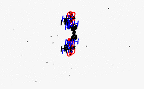 COC(=O)N[C@H](C(=O)N1[C@@H]2C[C@@H]2C[C@H]1c1ncc(-c2cccc(C#Cc3cccc(-c4cnc([C@@H]5C[C@H]6C[C@H]6N5C(=O)[C@@H](NC(=O)OC)C(C)C)[nH]4)c3)c2)[nH]1)C(C)C